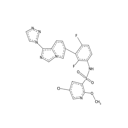 COc1ncc(Cl)cc1S(=O)(=O)Nc1ccc(F)c(-c2ccc3c(-n4ccnn4)ncn3c2)c1F